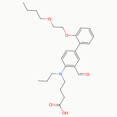 CCCCOCCOc1ccccc1-c1ccc(N(CCC)CCCC(=O)O)c(C=O)c1